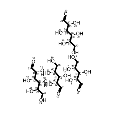 O=C[C@H](O)[C@@H](O)[C@H](O)CO.O=C[C@H](O)[C@@H](O)[C@H](O)CO.O=C[C@H](O)[C@@H](O)[C@H](O)[C@H](O)CO.O=C[C@H](O)[C@@H](O)[C@H](O)[C@H](O)CO